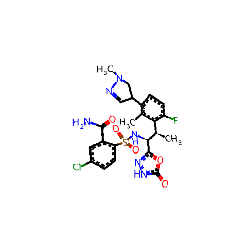 Cc1c(C2C=NN(C)C2)ccc(F)c1[C@@H](C)[C@H](NS(=O)(=O)c1ccc(Cl)cc1C(N)=O)c1n[nH]c(=O)o1